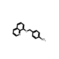 O=[N+]([O-])c1ccc(COc2cccc3cccnc23)cc1